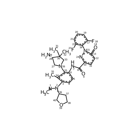 C=NN(c1ccc(NC(=O)c2ccc(=O)n(-c3c(F)cccc3F)n2)c(N2C[C@H](N)C(C)(C)C2)c1C)[C@H]1CCOC1